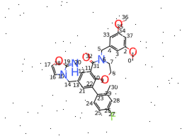 COc1cc(CN2CCOc3c(cc(Cn4ccoc4=N)cc3-c3ccc(F)cc3C)C2=O)cc(OC)c1